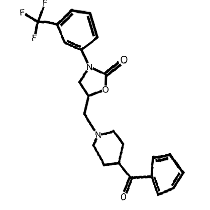 O=C(c1ccccc1)C1CCN(CC2CN(c3cccc(C(F)(F)F)c3)C(=O)O2)CC1